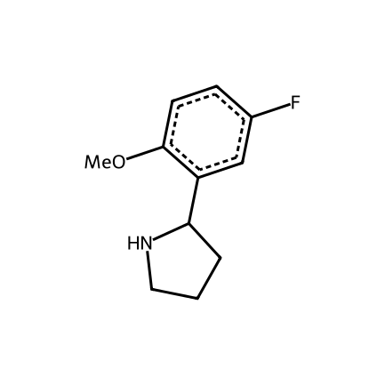 COc1ccc(F)cc1C1CCCN1